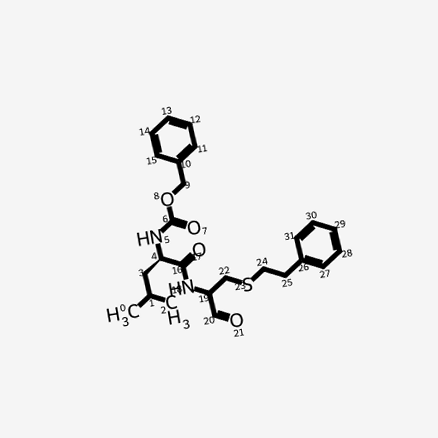 CC(C)C[C@@H](NC(=O)OCc1ccccc1)C(=O)NC(C=O)CSCCc1ccccc1